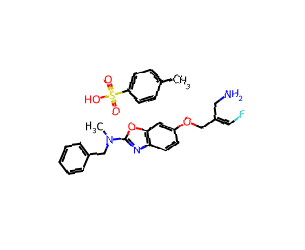 CN(Cc1ccccc1)c1nc2ccc(OC/C(=C/F)CN)cc2o1.Cc1ccc(S(=O)(=O)O)cc1